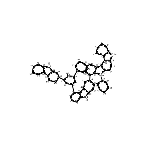 c1ccc(-c2cc(-c3cccc4oc5ccc(-c6cccc7c8c9c(ccc8n(-c8ccccc8)c67)sc6ccccc69)cc5c34)cc(-c3ccc4c(c3)oc3ccccc34)n2)cc1